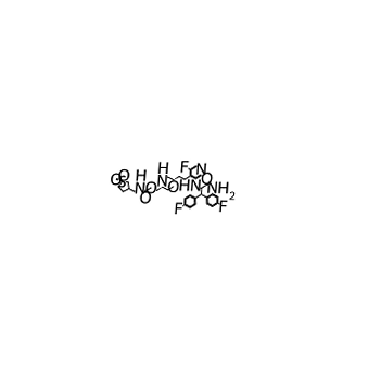 NC(=O)[C@@H](Nc1cncc(F)c1CC[C@@H]1CN[C@H](COC(=O)NCC2CCS(=O)(=O)C2)CO1)C(c1ccc(F)cc1)c1ccc(F)cc1